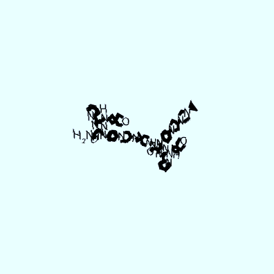 NC(=O)c1nc(-c2ccccn2)c(NC2CC3(CCOCC3)C2)nc1Nc1ccc(N2CCC(N3CC4(CCN(NC(=O)c5nc(-c6ccccn6)c(NC6CC7(CCOCC7)C6)nc5Nc5ccc(N6CCC(N7CCN(C8CC8)CC7)CC6)cc5)CC4)C3)CC2)cc1